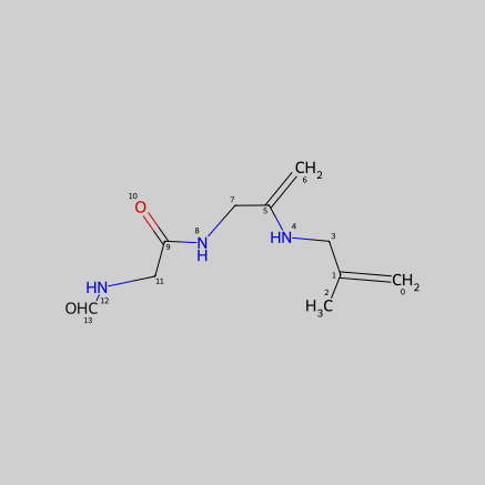 C=C(C)CNC(=C)CNC(=O)CNC=O